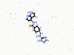 O=C(Nc1ccnc2[nH]ccc12)c1ccc(CNC2=NCCN2)cc1